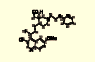 COc1ccc2ncc(Cl)c(C(F)CCC3CCN(CCSc4ccccn4)CC3CC(=O)O)c2c1